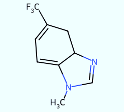 CN1C=NC2CC(C(F)(F)F)=CC=C21